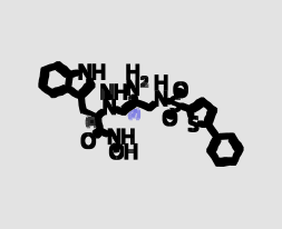 N/C(=C\N(N)[C@H](Cc1c[nH]c2ccccc12)C(=O)NO)CNS(=O)(=O)c1ccc(-c2ccccc2)s1